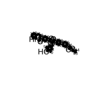 Cc1cc(C[C@@H](OC(=O)N2CCC(N3CCc4ccccc4NC3=O)CC2)C(=O)N2CCN(C3CCN(CC(=O)OCC(C)C)CC3)CC2)cc(C)c1O